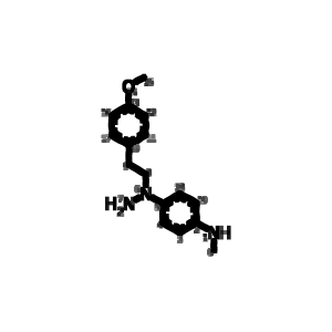 CNc1ccc(N(N)CCc2ccc(OC)cc2)cc1